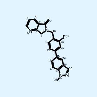 C=C1c2cccnc2CN1Cc1ccc(-c2ccc3c(cnn3C)c2)cc1F